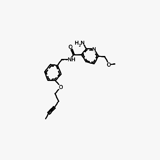 CC#CCCOc1cccc(CNC(=O)c2ccc(COC)nc2N)c1